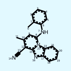 Cc1ccccc1Nc1cc(C)c(C#N)c2nc3ccccc3n12